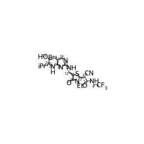 CCn1c(=C(C#N)C(=O)NCC(F)(F)F)sc(=CNc2ncc(Br)c(N[C@@H](CO)C(C)C)n2)c1=O